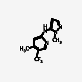 Cc1cc(Nc2ccnn2C)ncc1C(F)(F)F